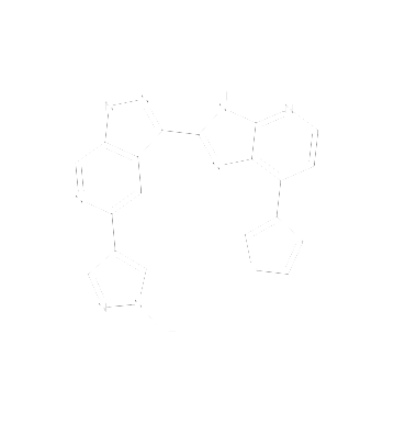 Cn1cc(-c2cc3c(-c4nc5c(-c6ccoc6)ccnc5[nH]4)n[nH]c3cn2)cn1